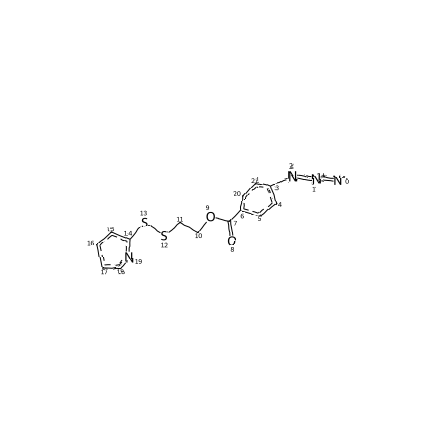 [N-]=[N+]=Nc1ccc(C(=O)OCCSSc2ccccn2)cc1